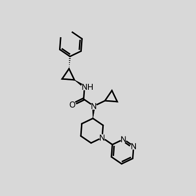 C/C=C\C(=C/C)[C@H]1C[C@@H]1NC(=O)N(C1CC1)[C@@H]1CCCN(c2cccnn2)C1